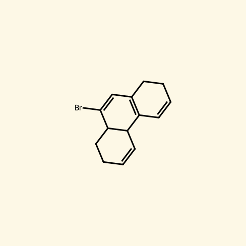 BrC1=CC2=C(C=CCC2)C2C=CCCC12